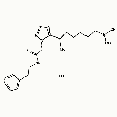 Cl.NC(CCCCCB(O)O)c1nnnn1CC(=O)NCCc1ccccc1